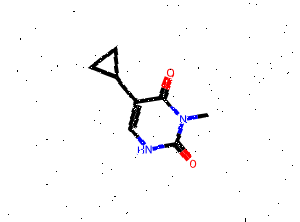 Cn1c(=O)[nH]cc(C2CC2)c1=O